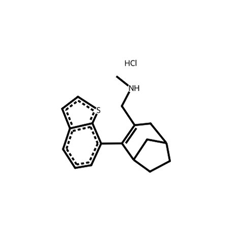 CNCC1=C(c2cccc3ccsc23)C2CCC(C1)C2.Cl